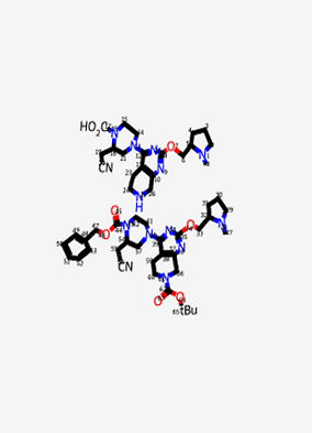 CN1CCCC1COc1nc2c(c(N3CCN(C(=O)O)C(CC#N)C3)n1)CCNC2.CN1CCCC1COc1nc2c(c(N3CCN(C(=O)OCc4ccccc4)C(CC#N)C3)n1)CCN(C(=O)OC(C)(C)C)C2